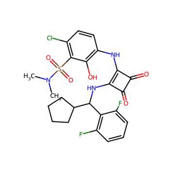 CN(C)S(=O)(=O)c1c(Cl)ccc(Nc2c(NC(c3c(F)cccc3F)C3CCCC3)c(=O)c2=O)c1O